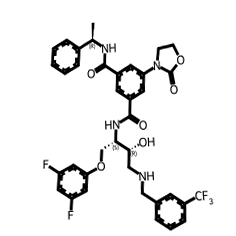 C[C@@H](NC(=O)c1cc(C(=O)N[C@@H](COc2cc(F)cc(F)c2)[C@H](O)CNCc2cccc(C(F)(F)F)c2)cc(N2CCOC2=O)c1)c1ccccc1